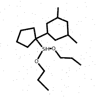 CCCO[SiH](OCCC)C1(C2CC(C)CC(C)C2)CCCC1